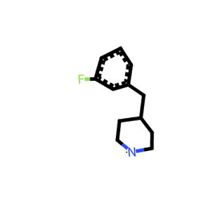 Fc1cccc(CC2CC[N]CC2)c1